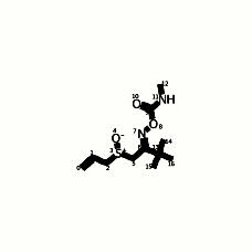 C=CC[S+]([O-])CC(=NOC(=O)NC)C(C)(C)C